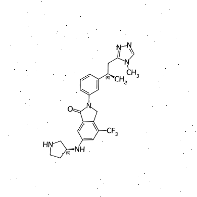 C[C@H](Cc1nncn1C)c1cccc(N2Cc3c(cc(N[C@H]4CCNC4)cc3C(F)(F)F)C2=O)c1